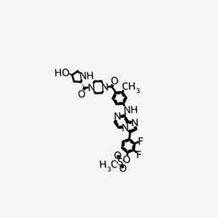 Cc1cc(Nc2nccn3c(-c4ccc(OS(C)(=O)=O)c(F)c4F)cnc23)ccc1C(=O)N1CCN(C(=O)[C@@H]2C[C@@H](O)CN2)CC1